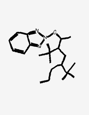 CCCC(CC(C(C)On1nc2ccccc2n1)C(C)(C)C)C(C)(C)C